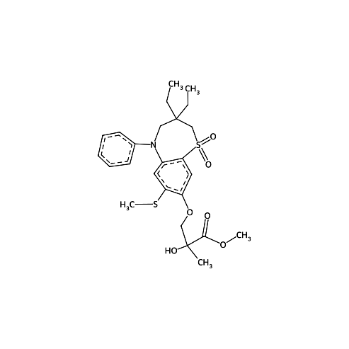 CCC1(CC)CN(c2ccccc2)c2cc(SC)c(OCC(C)(O)C(=O)OC)cc2S(=O)(=O)C1